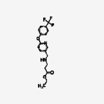 CCOC(=O)CCNCc1ccc(Oc2ccc(C(F)(F)F)cc2)nc1